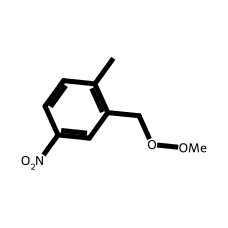 COOCc1cc([N+](=O)[O-])ccc1C